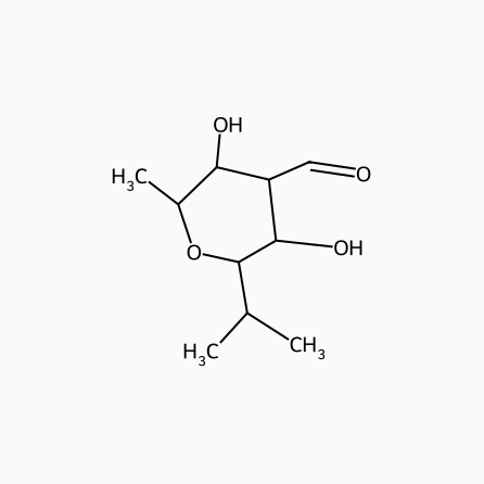 CC(C)C1OC(C)C(O)C(C=O)C1O